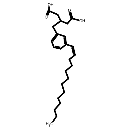 CCCCCCCCCCC/C=C\c1cccc(CC(CC(=O)O)CC(=O)O)c1